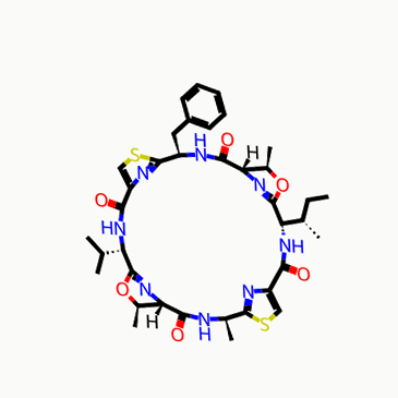 CC[C@H](C)[C@@H]1NC(=O)c2csc(n2)[C@@H](C)NC(=O)[C@H]2N=C(O[C@@H]2C)[C@H](C(C)C)NC(=O)c2csc(n2)[C@@H](Cc2ccccc2)NC(=O)[C@H]2N=C1O[C@@H]2C